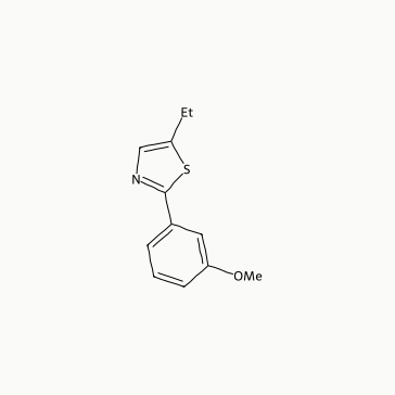 CCc1cnc(-c2cccc(OC)c2)s1